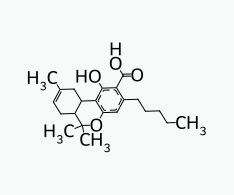 CCCCCc1cc2c(c(O)c1C(=O)O)C1CC(C)=CCC1C(C)(C)O2